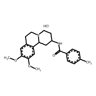 COc1cc2c(cc1OC)C1CC(NC(=O)c3ccc(C)cc3)CCN1CC2.Cl